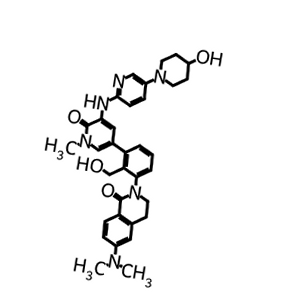 CN(C)c1ccc2c(c1)CCN(c1cccc(-c3cc(Nc4ccc(N5CCC(O)CC5)cn4)c(=O)n(C)c3)c1CO)C2=O